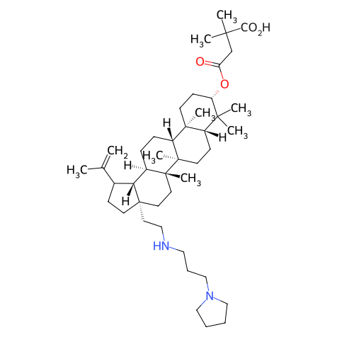 C=C(C)C1CC[C@]2(CCNCCCN3CCCC3)CC[C@]3(C)[C@H](CC[C@@H]4[C@@]5(C)CC[C@H](OC(=O)CC(C)(C)C(=O)O)C(C)(C)[C@@H]5CC[C@]43C)[C@@H]12